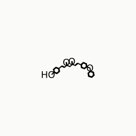 O=C(/C=C/c1ccc(O)cc1)CC(=O)/C=C/c1ccc(Oc2ccccc2)cc1